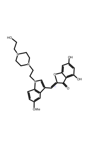 COc1ccc2c(c1)c(/C=C1\Oc3cc(O)cc(O)c3C1=O)cn2CCN1CCN(CCO)CC1